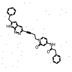 O=C(Cc1ccccc1)Nc1ccn(CCC#Cc2cc3cc(Cc4ccccc4)[nH]c3nn2)c(=O)c1